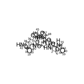 CCCC(NC(=O)C1CC(OC(=O)N2CCc3ccccc3C2)CN1C(=O)[C@@H](NC(=O)[C@@H](NC(=O)CCCCC(=O)NC)C(C)C)C(C)C)C(=O)C(=O)N[C@@H](C)c1ccccc1